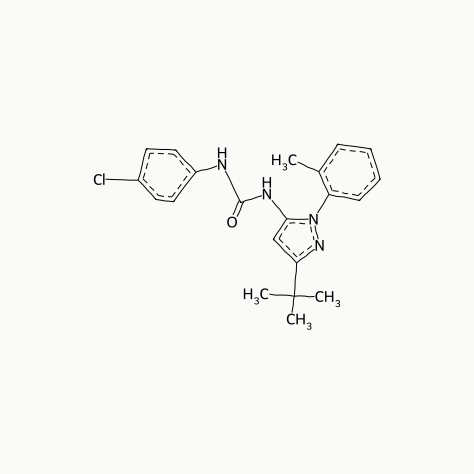 Cc1ccccc1-n1nc(C(C)(C)C)cc1NC(=O)Nc1ccc(Cl)cc1